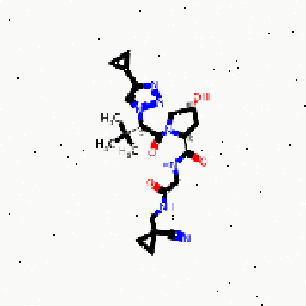 CC(C)(C)[C@@H](C(=O)N1C[C@H](O)C[C@H]1C(=O)NCC(=O)NCC1(C#N)CC1)n1cc(C2CC2)nn1